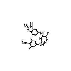 Cc1cc(Nc2ncc(F)c(Nc3ccc4oc(=O)[nH]c4c3)n2)cc(C)c1C#N